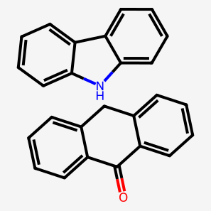 O=C1c2ccccc2Cc2ccccc21.c1ccc2c(c1)[nH]c1ccccc12